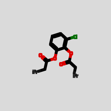 CC(C)CC(=O)Oc1cccc(Cl)c1OC(=O)CC(C)C